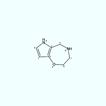 c1cc2c([nH]1)CNCCO2